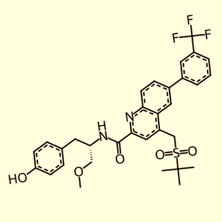 COC[C@H](Cc1ccc(O)cc1)NC(=O)c1cc(CS(=O)(=O)C(C)(C)C)c2cc(-c3cccc(C(F)(F)F)c3)ccc2n1